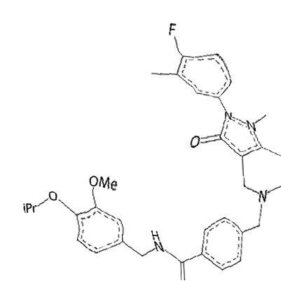 COc1cc(CNC(=O)c2ccc(CN3CCc4c(c(=O)n(-c5ccc(F)c(C)c5)n4C)C3)cc2)ccc1OC(C)C